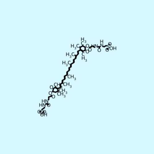 CC1=C(/C=C/C(C)=C/C=C/C(C)=C/C=C/C=C(C)/C=C/C=C(C)/C=C/C2=C(C)C(=O)C(OC(=O)CCNC(=O)NCCS(=O)(=O)O)CC2(C)C)C(C)C(C)C(OC(=O)CCNC(=O)NCCS(=O)(=O)O)C1=O